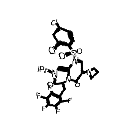 CC(C)N1C=C2N(C(=O)C(N3CCC3)CN2S(=O)(=O)c2ccc(Cl)cc2Cl)C(Cc2c(F)c(F)c(F)c(F)c2F)C1=O